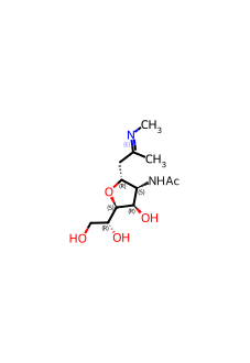 C/N=C(\C)C[C@H]1O[C@H]([C@H](O)CO)[C@H](O)[C@@H]1NC(C)=O